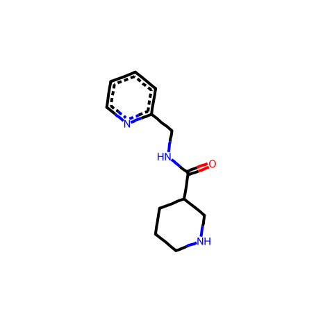 O=C(NCc1ccccn1)C1CCCNC1